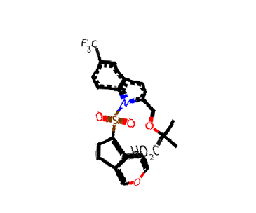 CC(C)(OCc1cc2cc(C(F)(F)F)ccc2n1S(=O)(=O)C1=C2C=COC=C2CC1)C(=O)O